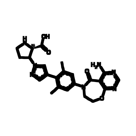 Cc1cc(N2CCOc3ncnc(N)c3C2=O)cc(C)c1-c1cnn(C2CCN[C@@H]2C(=O)O)c1